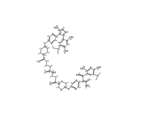 CC(C)c1cc(C(=N)N(C(N)=O)c2ccc(CN3CCN(C(=O)CCNC(=O)CCCC(=O)N4CCN(Cc5ccc(-n6c(O)nnc6-c6cc(C(C)C)c(O)cc6O)cc5)CC4)CC3)cc2)c(O)cc1O